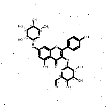 C[C@@H]1O[C@@H](Oc2cc(O)c3c(=O)c(O[C@@H]4O[C@H](CO)[C@H](O)[C@H](O)[C@H]4O)c(-c4ccc(O)cc4)oc3c2)[C@H](O)[C@H](O)[C@H]1O